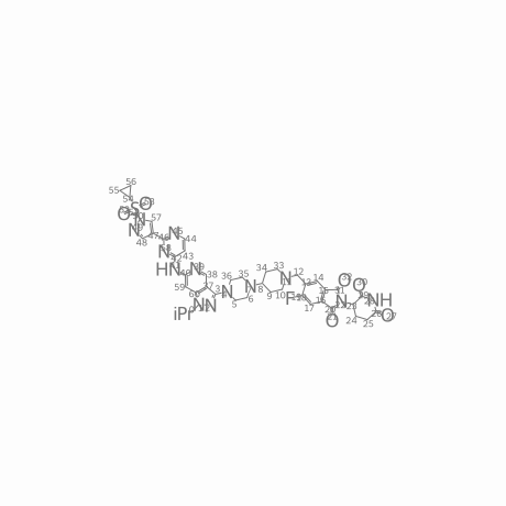 CC(C)n1nc(N2CCN(C3CCN(Cc4cc5c(cc4F)C(=O)N(C4CCC(=O)NC4=O)C5=O)CC3)CC2)c2cnc(Nc3ccnc(-c4cnn(S(=O)(=O)C5CC5)c4)n3)cc21